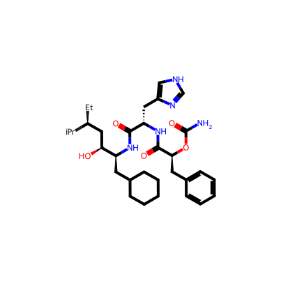 CC[C@@H](C[C@H](O)[C@H](CC1CCCCC1)NC(=O)[C@H](Cc1c[nH]cn1)NC(=O)[C@H](Cc1ccccc1)OC(N)=O)C(C)C